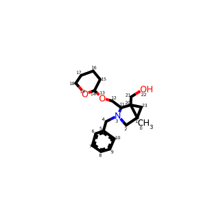 CC12CN(Cc3ccccc3)C(COC3CCCCO3)C1(CO)C2